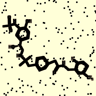 CC(C)(Cc1ccc(CC(=O)NCc2cc(C(F)(F)F)ccc2F)cc1)NC[C@H](O)c1ccc(O)c(NS(C)(=O)=O)c1